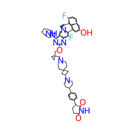 C#Cc1c(F)ccc2cc(O)cc(-c3ncc4c(N5CC6CCC(C5)N6)nc(OCC5(CN6CCC7(CC6)CC(N6CCC(c8ccc(C9CCC(=O)NC9=O)cc8)CC6)C7)CC5)nc4c3F)c12